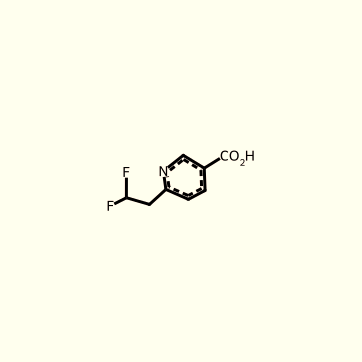 O=C(O)c1ccc(CC(F)F)nc1